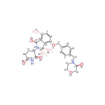 Bc1ccc(OCc2ccc(CN3CCOCC3=O)cc2)c2c1C(=O)N(C1CCC(=O)NC1=O)C2(B)B